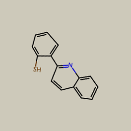 Sc1ccccc1-c1ccc2ccccc2n1